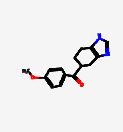 COc1ccc(C(=O)C2CCc3[nH]cnc3C2)cc1